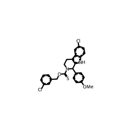 COc1ccc(C2c3[nH]c4ccc(Cl)cc4c3CCN2C(=S)OCc2cccc(Cl)c2)cc1